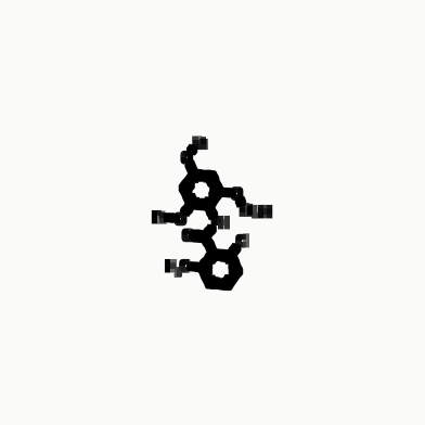 CCOc1cc(OCC)c(PC(=O)c2c(C)cccc2Cl)c(OCC)c1.[LiH]